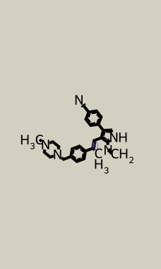 C=Nc1[nH]cc(-c2ccc(C#N)cc2)c1/C=C(\C)c1ccc(CN2CCN(C)CC2)cc1